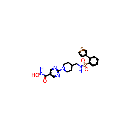 O=C(NO)c1cnc(N2CCC(CNS(=O)(=O)c3ccccc3-c3ccsc3)CC2)nc1